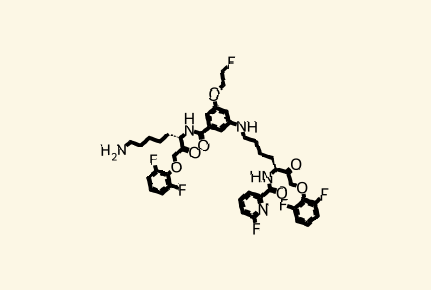 NCCCCC[C@H](NC(=O)c1cc(NCCCC[C@H](NC(=O)c2cccc(F)n2)C(=O)COc2c(F)cccc2F)cc(OCCF)c1)C(=O)COc1c(F)cccc1F